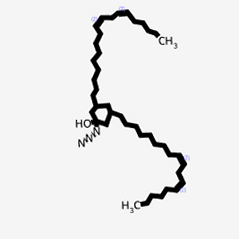 CCCCC/C=C\C/C=C\CCCCCCCCC1CC(CCCCCCCC/C=C\C/C=C\CCCCC)CC(O)(N=[N+]=[N-])C1